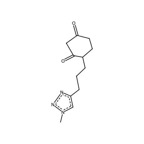 Cn1cc(CCCC2CCC(=O)CC2=O)nn1